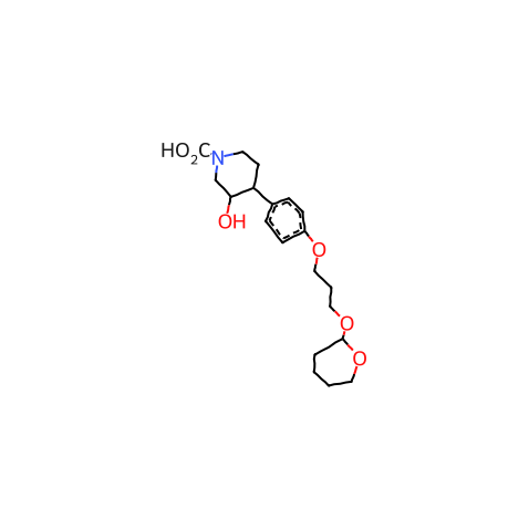 O=C(O)N1CCC(c2ccc(OCCCOC3CCCCO3)cc2)C(O)C1